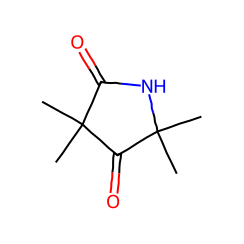 CC1(C)NC(=O)C(C)(C)C1=O